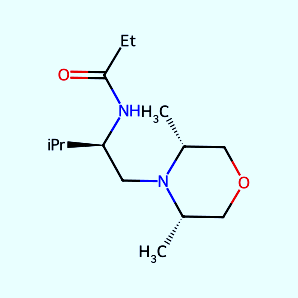 CCC(=O)N[C@@H](CN1[C@H](C)COC[C@@H]1C)C(C)C